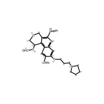 COc1cc2c3c(c(NC(C)C)nc2cc1OCCCN1CCCC1)COCC3OC=O